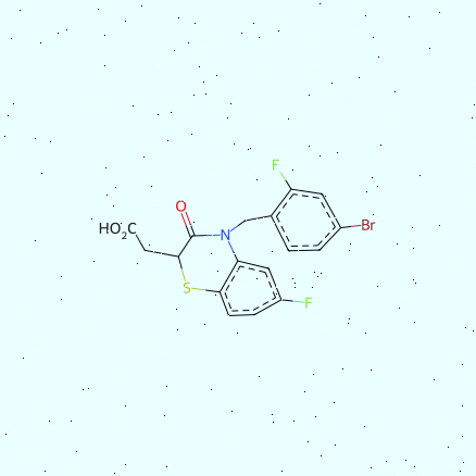 O=C(O)CC1Sc2ccc(F)cc2N(Cc2ccc(Br)cc2F)C1=O